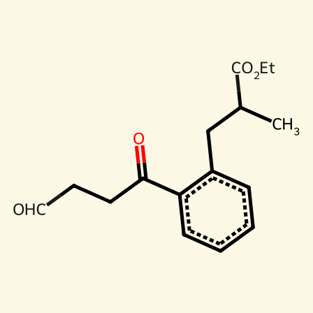 CCOC(=O)C(C)Cc1ccccc1C(=O)CCC=O